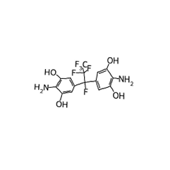 Nc1c(O)cc(C(F)(c2cc(O)c(N)c(O)c2)C(F)(F)C(F)(F)F)cc1O